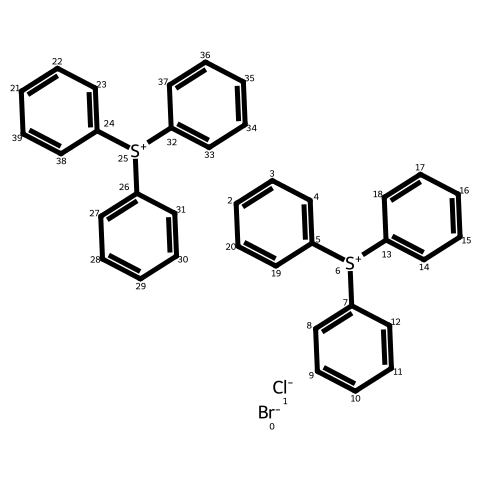 [Br-].[Cl-].c1ccc([S+](c2ccccc2)c2ccccc2)cc1.c1ccc([S+](c2ccccc2)c2ccccc2)cc1